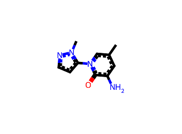 Cc1cc(N)c(=O)n(-c2ccnn2C)c1